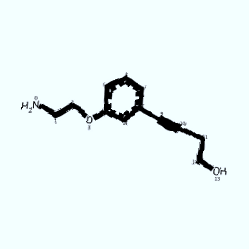 NCCOc1cccc(C#CCCO)c1